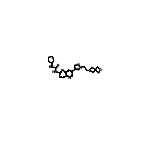 O=C(Nc1ccc2ncc(-c3cnn(CCN4CC5(COC5)C4)c3)cc2n1)NC1CCCC1